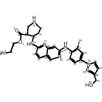 CC(C)CCOC(=O)C1CNCCC1Nc1ccc2cnc(Nc3ccc(-n4ccc(CO)n4)cc3F)cc2n1